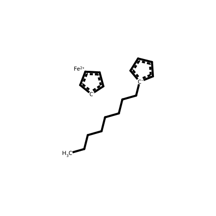 CCCCCCCC[c-]1cccc1.[Fe+2].c1cc[cH-]c1